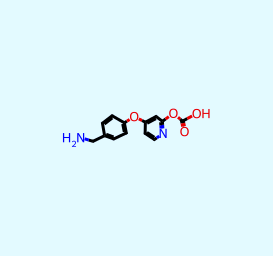 NCc1ccc(Oc2ccnc(OC(=O)O)c2)cc1